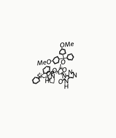 COc1ccc(C(OC[C@H]2O[C@@H](n3c(=O)[nH]c4cncnc43)C[C@@H]2O[P@@]2O[C@H](C[Si](C)(c3ccccc3)c3ccccc3)[C@@H]3CCCN32)(c2ccccc2)c2ccc(OC)cc2)cc1